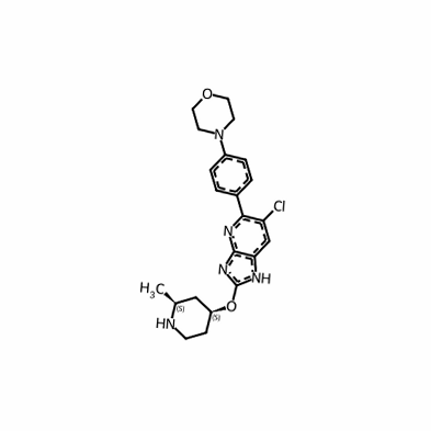 C[C@H]1C[C@@H](Oc2nc3nc(-c4ccc(N5CCOCC5)cc4)c(Cl)cc3[nH]2)CCN1